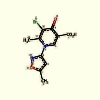 Cc1cc(-n2cc(C(=O)O)c(=O)c(Br)c2C)no1